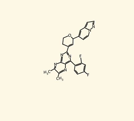 Cc1nc2nc(C3=CC(c4ccn5nccc5c4)OCC3)nc(-c3ccc(F)cc3F)c2nc1C